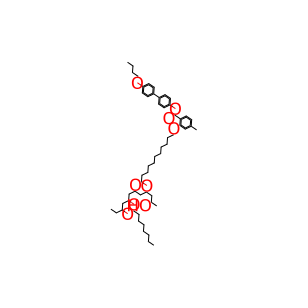 CCCCCCCC1OC(CC)CC(CC2CC(CC(C)O)OC(CCCCCCCCCCOc3cc(C)ccc3C(=O)Oc3ccc(-c4ccc(OCCCC)cc4)cc3)O2)O1